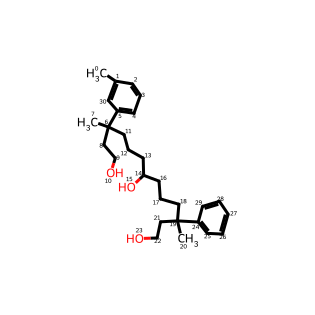 Cc1cccc(C(C)(CCO)CCCC(O)CCCC(C)(CCO)c2ccccc2)c1